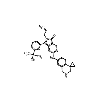 C=CCn1c(=O)c2cnc(Nc3ccc4c(c3)CNCC43CC3)nc2n1-c1cccc(C(C)(C)O)n1